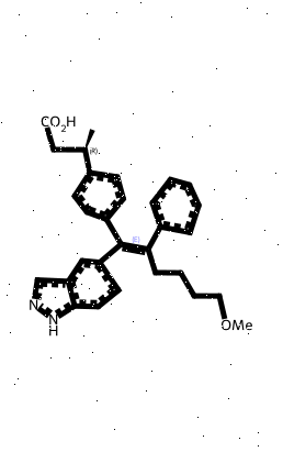 COCCCC/C(=C(/c1ccc([C@H](C)CC(=O)O)cc1)c1ccc2[nH]ncc2c1)c1ccccc1